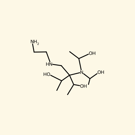 CC(O)N(C(C)O)C(CNCCN)(C(C)O)C(C)O